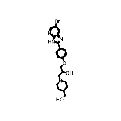 OCC1CCN(CC(O)COc2ccc(-c3nc4cc(Br)cnc4[nH]3)cc2)CC1